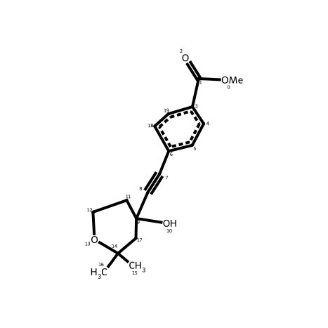 COC(=O)c1ccc(C#CC2(O)CCOC(C)(C)C2)cc1